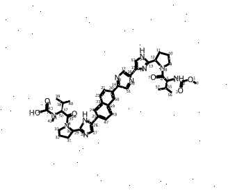 COC(=O)NC(C(=O)N1CCCC1c1nc(-c2cnc(-c3ccc4cc(-c5cnc(C6CCCN6C(=O)[C@H](C(C)C)N(C)C(=O)O)[nH]5)ccc4c3)cn2)c[nH]1)C(C)C